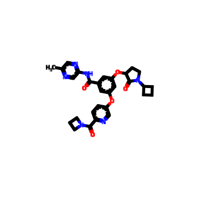 Cc1cnc(NC(=O)c2cc(Oc3ccc(C(=O)N4CCC4)nc3)cc(OC3CCN(C4CCC4)C3=O)c2)cn1